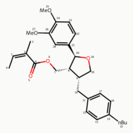 C/C=C(/C)C(=O)OC[C@H]1[C@@H](Cc2ccc(CCCC)cc2)CO[C@@H]1c1ccc(OC)c(OC)c1